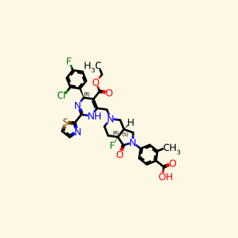 CCOC(=O)C1=C(CN2CC[C@]3(F)C(=O)N(c4ccc(C(=O)O)c(C)c4)C[C@@H]3C2)NC(c2nccs2)=N[C@H]1c1ccc(F)cc1Cl